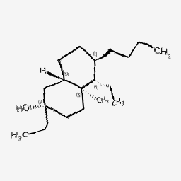 CCCC[C@@H]1CC[C@H]2C[C@](O)(CC)CC[C@]2(C)[C@H]1CC